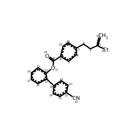 C=C(CC)CCc1ccc(C(=O)Oc2ccccc2-c2ccc(C#N)cc2)cc1